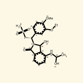 CCOc1cc([C@@H](CS(C)(=O)=O)N2C(=O)c3cccc(NC(C)O)c3C2O)ccc1OC